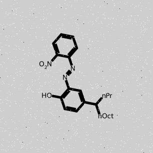 CCCCCCCCC(CCC)c1ccc(O)c(N=Nc2ccccc2[N+](=O)[O-])c1